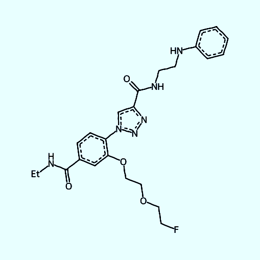 CCNC(=O)c1ccc(-n2cc(C(=O)NCCNc3ccccc3)nn2)c(OCCOCCF)c1